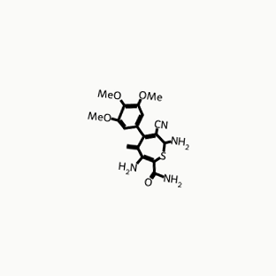 C=C1C(N)=C(C(N)=O)SC(N)C(C#N)=C1c1cc(OC)c(OC)c(OC)c1